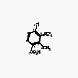 Cc1c(C(=O)O)ccc(Cl)c1C(F)(F)F